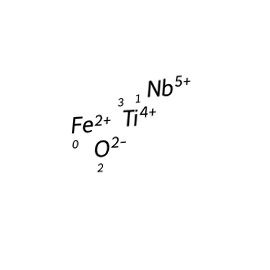 [Fe+2].[Nb+5].[O-2].[Ti+4]